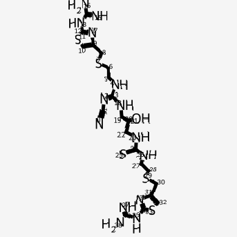 N#CN=C(NCCSCc1csc(NC(=N)N)n1)NCC(O)CNC(=S)NCCSCc1csc(NC(=N)N)n1